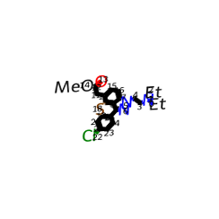 CCN(CC)CCn1nc2c3c(c(CC(=O)OC)ccc31)Sc1cc(Cl)ccc1-2